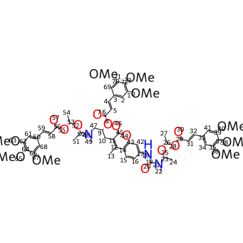 COc1cc(C=CC(=O)OC(Cc2c(C)c3ccc(NC(=O)N(C)C(C)OC(C)OC(=O)C=Cc4cc(OC)c(OC)c(OC)c4)cc3oc2=O)CN(C)C(C)OC(C)OC(=O)C=Cc2cc(OC)c(OC)c(OC)c2)cc(OC)c1OC